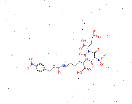 O=C(O)CCC(C(=O)O)N1C(=O)C([N+](=O)[O-])C(=O)N(C(CCCCNC(=O)OCc2ccc([N+](=O)[O-])cc2)C(=O)O)C1=O